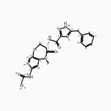 CN1C(=O)[C@@H](NC(=O)c2n[nH]c(Cc3ccccc3)n2)CSc2cnc(NC(=O)C(F)(F)F)cc21